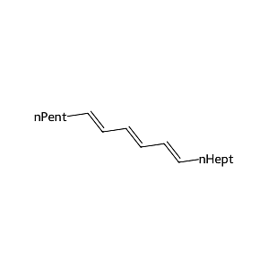 [CH2]CCCCCC/C=C/C=C/C=C/CCCCC